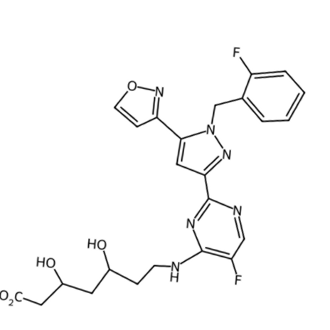 O=C(O)CC(O)CC(O)CCNc1nc(-c2cc(-c3ccon3)n(Cc3ccccc3F)n2)ncc1F